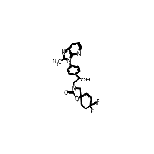 Cc1nc2cccnc2n1-c1ccc(C(O)CN2CC3(CCC(F)(F)CC3)OC2=O)cc1